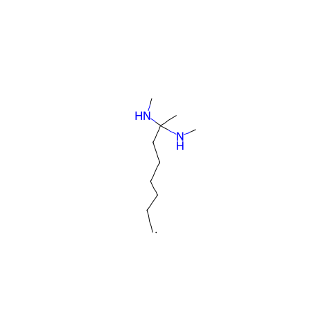 [CH2]CCCCCC(C)(NC)NC